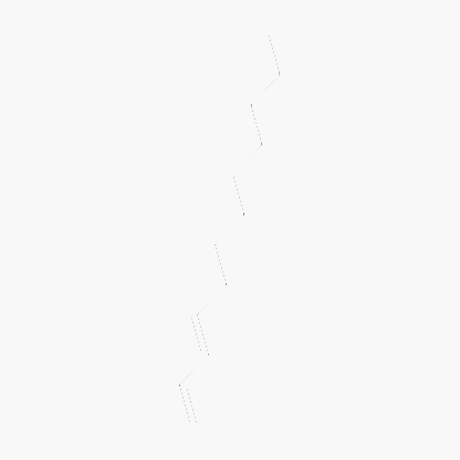 C=CC=CCC=CCCCCC